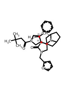 CC(C)N1C(=O)N(Cc2ccco2)CC12CC1CCC(C2)N1C[C@H]1CN(C(=O)CC(C)(C)C)C[C@@H]1c1ccccc1